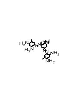 Cc1cc(N=Nc2ccc(C)c(N=Nc3cc(C)c(N)cc3N)c2)c(N)cc1N.Cl.Cl